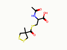 CC(=O)NC(CSC(=O)C1(C)CSSC1)C(=O)O